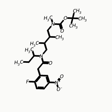 CCC(C)N(CC(C)C(C)CN(C)C(=O)OC(C)(C)C)C(=O)Cc1cc([N+](=O)[O-])ccc1F